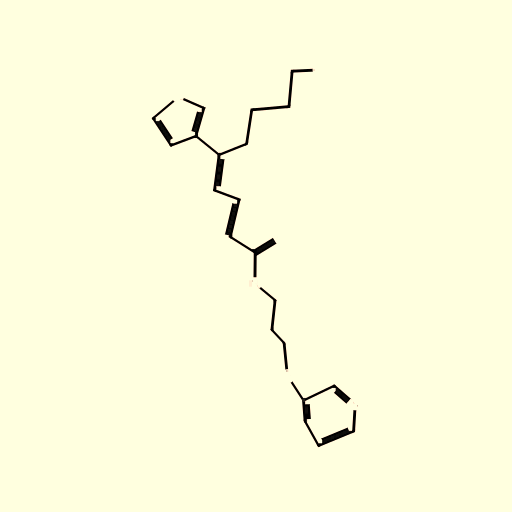 CCCCC/C(=C\C=C\C(=O)NCCCOc1cccnc1)c1ccsc1